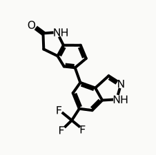 O=C1Cc2cc(-c3cc(C(F)(F)F)cc4[nH]ncc34)ccc2N1